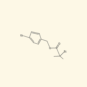 CCc1ccc(COC(=O)C(C)(C)CC)cc1